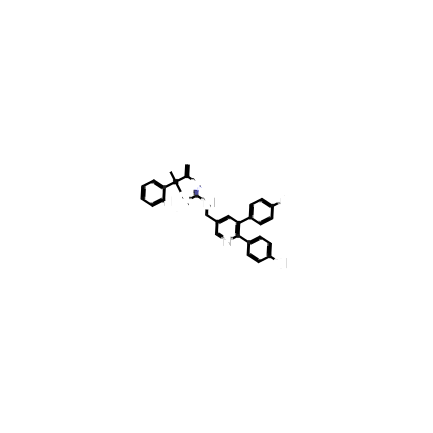 C=C(/N=C(\N)NCc1cnc(-c2ccc(Cl)cc2)c(-c2ccc(Cl)cc2)c1)C(C)(C)c1ccccc1